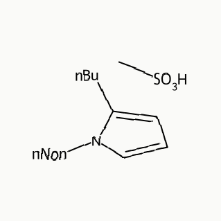 CCCCCCCCCn1cccc1CCCC.CS(=O)(=O)O